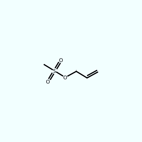 C=C[CH]OS(C)(=O)=O